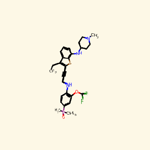 CN1CCC(Nc2cccc3c(CC(F)(F)F)c(C#CCNc4ccc(P(C)(C)=O)cc4OC(F)F)sc23)CC1